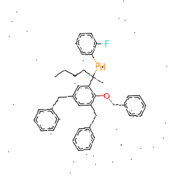 CCCCC(C)(Pc1ccccc1F)c1cc(Cc2ccccc2)cc(Cc2ccccc2)c1OCc1ccccc1